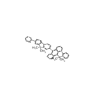 CC1(C)c2cc(-c3ccccn3)ccc2-c2ccc(-c3c4ccccc4c4c5c(cccc35)-c3ccccc3C4(C)C)cc21